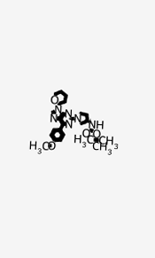 COc1ccc(-c2nc(N3CC[C@@H](NC(=O)OC(C)(C)C)C3)nc3c2ncn3C2CCCCO2)cc1